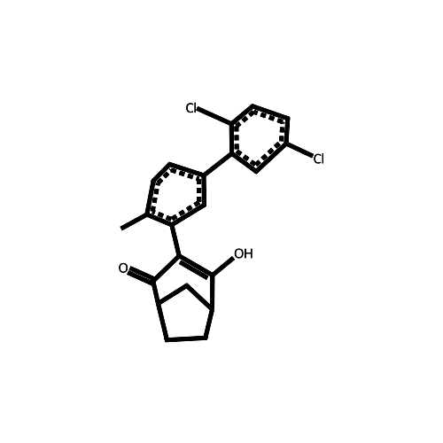 Cc1ccc(-c2cc(Cl)ccc2Cl)cc1C1=C(O)C2CCC(C2)C1=O